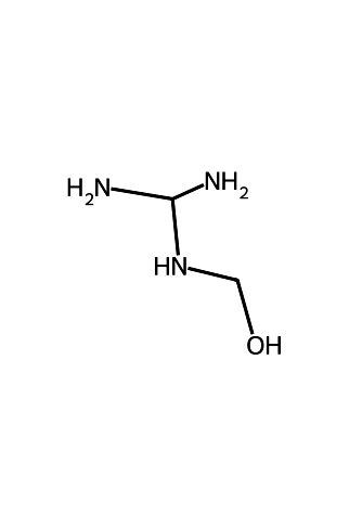 NC(N)NCO